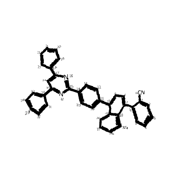 N#Cc1ccccc1-c1ccc(-c2ccc(-c3nc(-c4ccccc4)cc(-c4ccccc4)n3)cc2)c2ccccc12